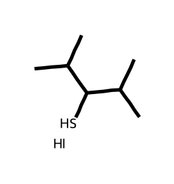 CC(C)C(S)C(C)C.I